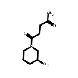 CC1CCCN(C(=O)CCC(N)=O)C1